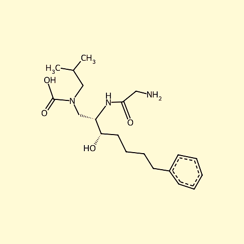 CC(C)CN(C[C@H](NC(=O)CN)[C@@H](O)CCCCc1ccccc1)C(=O)O